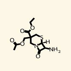 CCOC(=O)C1(COC(C)=O)CS[C@@H]2C(N)C(=O)N2C1